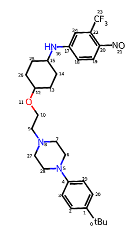 CC(C)(C)c1ccc(N2CCN(CCOC3CCC(Nc4ccc(N=O)c(C(F)(F)F)c4)CC3)CC2)cc1